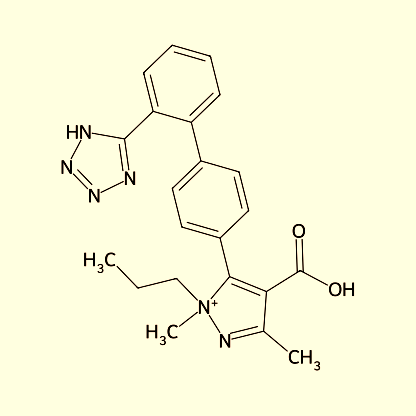 CCC[N+]1(C)N=C(C)C(C(=O)O)=C1c1ccc(-c2ccccc2-c2nnn[nH]2)cc1